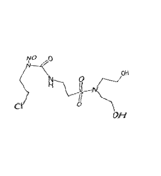 O=NN(CCCl)C(=O)NCCS(=O)(=O)N(CCO)CCO